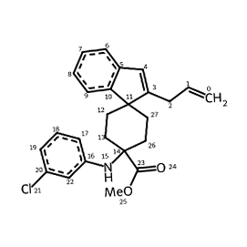 C=CCC1=Cc2ccccc2C12CCC(Nc1cccc(Cl)c1)(C(=O)OC)CC2